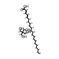 CCCCCCCCCCCCCCCCCC=CC=CC(=O)O.OCC(CO)(CO)CO